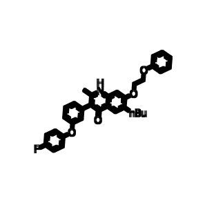 CCCCc1cc2c(=O)c(-c3cccc(Oc4ccc(F)cc4)c3)c(C)[nH]c2cc1OCCOc1ccccc1